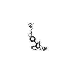 CSc1nnc(-c2ccc(OCCCN3CCC[C@H]3C)cc2)c2c1CCC2